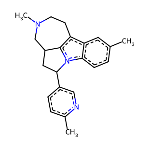 Cc1ccc2c(c1)c1c3n2C(c2ccc(C)nc2)CC3CN(C)CC1